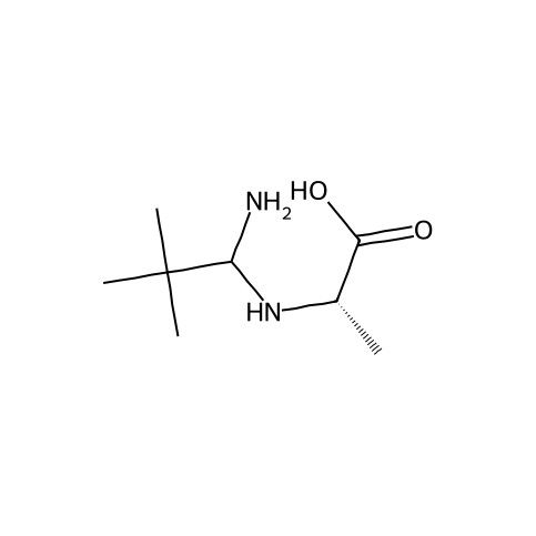 C[C@H](NC(N)C(C)(C)C)C(=O)O